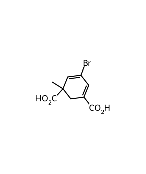 CC1(C(=O)O)C=C(Br)C=C(C(=O)O)C1